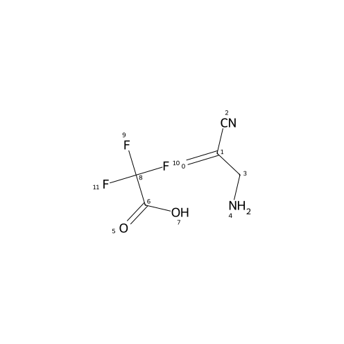 C=C(C#N)CN.O=C(O)C(F)(F)F